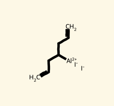 C=CC[CH]([Al+2])CC=C.[I-].[I-]